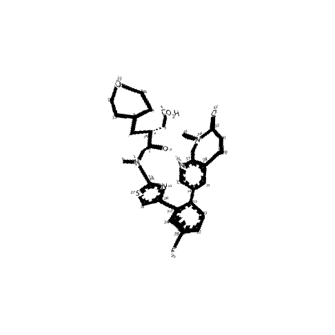 CN(C(=O)[C@@H](CC(=O)O)CC1CCOCC1)c1nc(-c2cc(F)ccc2-c2cnc3c(c2)CCC(=O)N3C)cs1